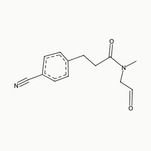 CN(CC=O)C(=O)CCc1ccc(C#N)cc1